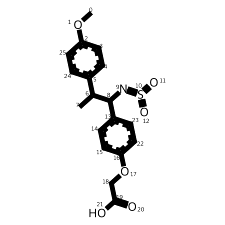 COc1ccc(C(C)C(N=S(=O)=O)c2ccc(OCC(=O)O)cc2)cc1